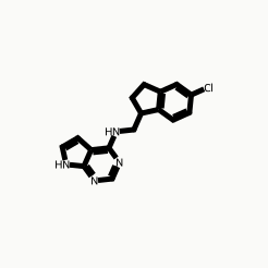 Clc1ccc2c(c1)CCC2CNc1ncnc2[nH]ccc12